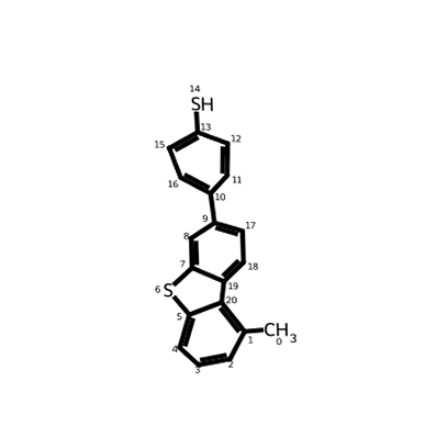 Cc1cccc2sc3cc(-c4ccc(S)cc4)ccc3c12